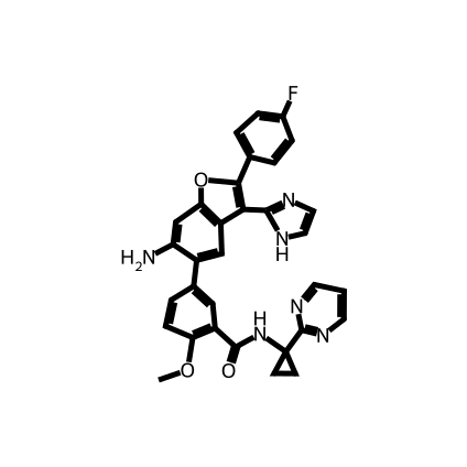 COc1ccc(-c2cc3c(-c4ncc[nH]4)c(-c4ccc(F)cc4)oc3cc2N)cc1C(=O)NC1(c2ncccn2)CC1